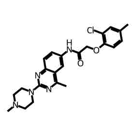 Cc1ccc(OCC(=O)Nc2ccc3nc(N4CCN(C)CC4)nc(C)c3c2)c(Cl)c1